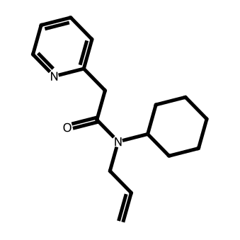 C=CCN(C(=O)Cc1ccccn1)C1CCCCC1